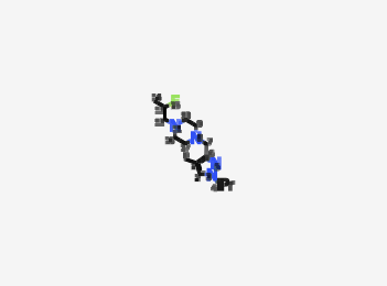 Cc1cn(C(C)C)nc1CN1CCN(CC(C)F)CC1